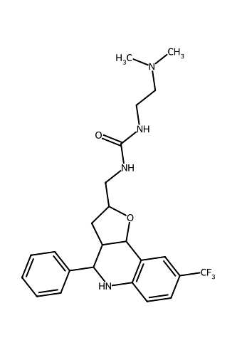 CN(C)CCNC(=O)NCC1CC2C(c3ccccc3)Nc3ccc(C(F)(F)F)cc3C2O1